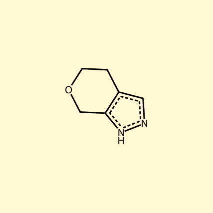 c1n[nH]c2c1CCOC2